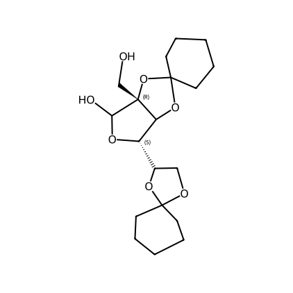 OC[C@@]12OC3(CCCCC3)OC1[C@H](C1COC3(CCCCC3)O1)OC2O